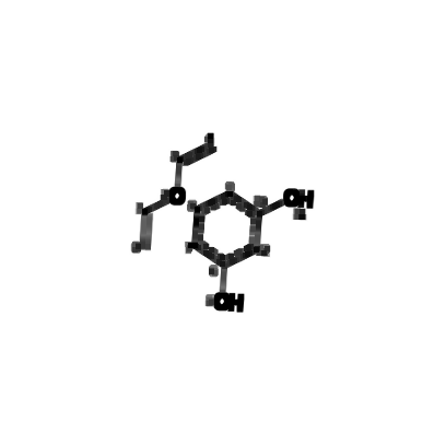 C=COC=C.Oc1cccc(O)c1